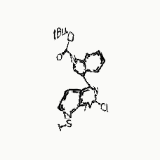 CC(C)(C)OC(=O)n1cc(-c2nc(Cl)nc3c2ccn3SI)c2ccccc21